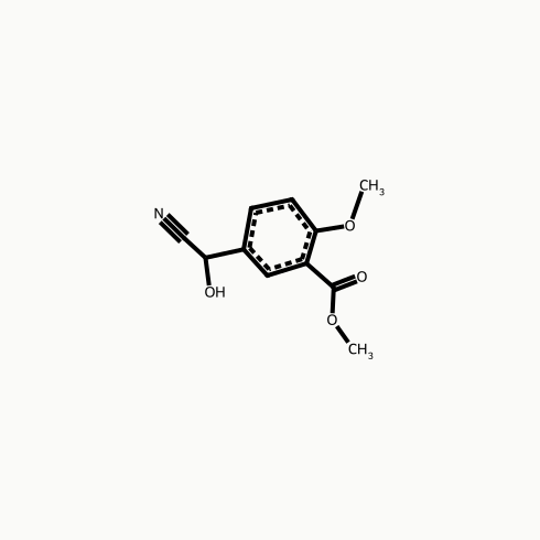 COC(=O)c1cc(C(O)C#N)ccc1OC